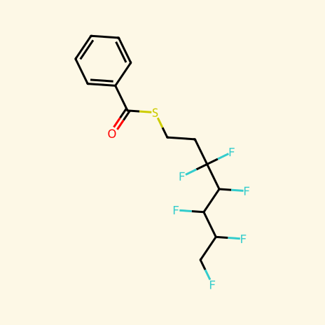 O=C(SCCC(F)(F)C(F)C(F)C(F)CF)c1ccccc1